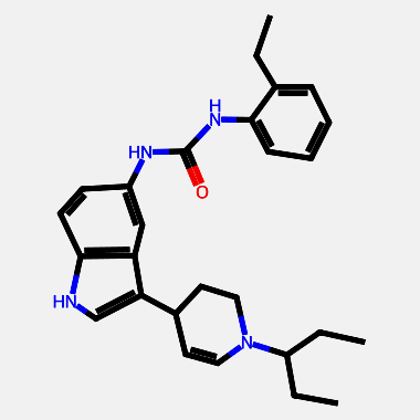 CCc1ccccc1NC(=O)Nc1ccc2[nH]cc(C3C=CN(C(CC)CC)CC3)c2c1